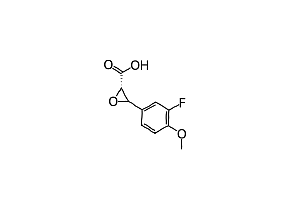 COc1ccc(C2O[C@@H]2C(=O)O)cc1F